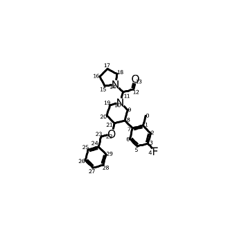 Cc1cc(F)ccc1C1CN(C(C=O)N2CCCC2)CCC1OCc1ccccc1